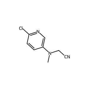 CN(CC#N)c1ccc(Cl)nc1